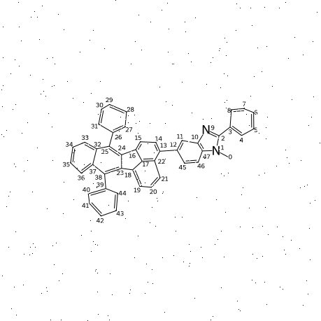 Cn1c(-c2ccccc2)nc2cc(-c3ccc4c5c(cccc35)-c3c-4c(-c4ccccc4)c4ccccc4c3-c3ccccc3)ccc21